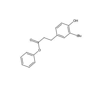 CC(C)(C)c1cc(CCC(=O)Oc2ccccc2)ccc1O